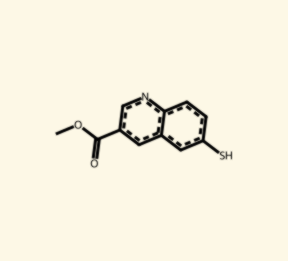 COC(=O)c1cnc2ccc(S)cc2c1